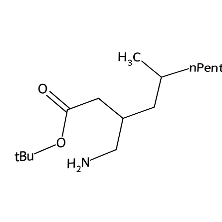 CCCCCC(C)CC(CN)CC(=O)OC(C)(C)C